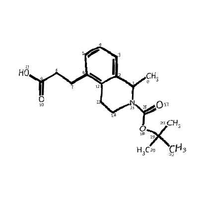 CC1c2cccc(CCC(=O)O)c2CCN1C(=O)OC(C)(C)C